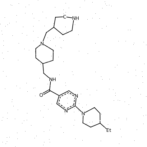 CCC1CCN(c2ncc(C(=O)NCC3CCN(CC4CCNCC4)CC3)cn2)CC1